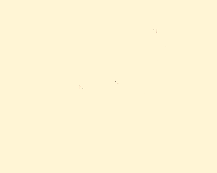 COc1ccc(CN2CCN(CC(=O)c3ccccc3OC(=O)N(C)C)CC2)cc1